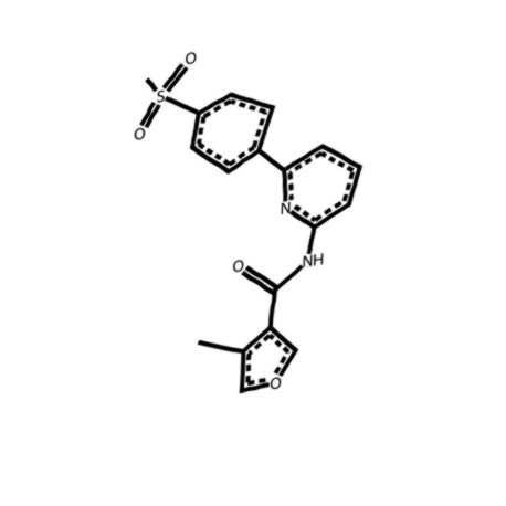 Cc1cocc1C(=O)Nc1cccc(-c2ccc(S(C)(=O)=O)cc2)n1